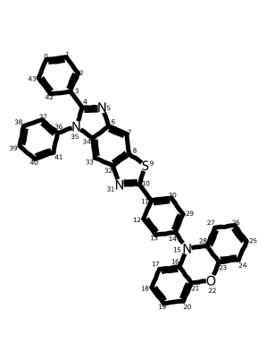 c1ccc(-c2nc3cc4sc(-c5ccc(N6c7ccccc7Oc7ccccc76)cc5)nc4cc3n2-c2ccccc2)cc1